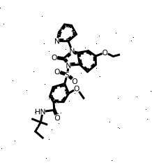 CCOc1ccc2c(c1)n(-c1ccccn1)c(=O)n2S(=O)(=O)c1ccc(C(=O)NC(C)(C)CC)cc1OC